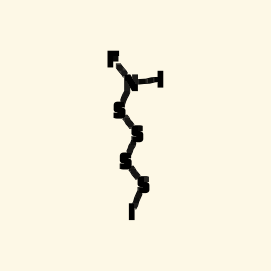 FN(I)SSSSI